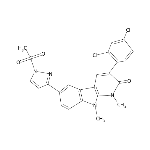 Cn1c(=O)c(-c2ccc(Cl)cc2Cl)cc2c3cc(-c4ccn(S(C)(=O)=O)n4)ccc3n(C)c21